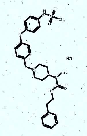 CCCCN(C(=O)NCCc1ccccc1)C1CCN(Cc2ccc(Oc3ccc(NS(C)(=O)=O)cc3)cc2)CC1.Cl